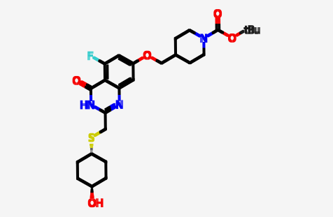 CC(C)(C)OC(=O)N1CCC(COc2cc(F)c3c(=O)[nH]c(CS[C@H]4CC[C@H](O)CC4)nc3c2)CC1